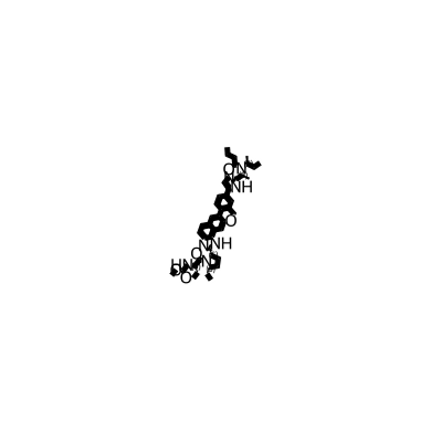 CCCC(=O)N([C@@H](C)CC)[C@@H](C)c1ncc(-c2ccc3c(c2)COc2cc4c(ccc5nc([C@@H]6CC[C@H](CC)N6C(=O)[C@H](CC)NC(=O)OC)[nH]c54)cc2-3)[nH]1